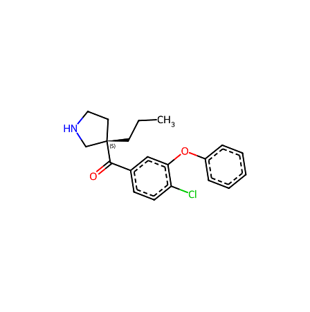 CCC[C@]1(C(=O)c2ccc(Cl)c(Oc3ccccc3)c2)CCNC1